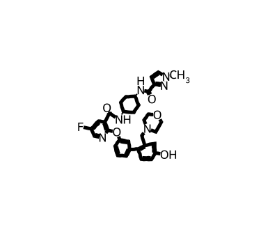 Cn1ccc(C(=O)N[C@H]2CC[C@@H](NC(=O)c3cc(F)cnc3Oc3cccc(-c4ccc(O)cc4CN4CCOCC4)c3)CC2)n1